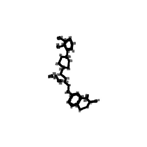 O=C1CCc2ccc(OCCCCN3CCN(c4cccc(Cl)c4Cl)CC3)cc2N1.O=S(=O)(O)O